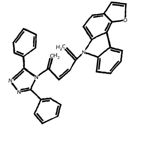 C=C(/C=C\C(=C)n1c2ccccc2c2c3occc3ccc21)n1c(-c2ccccc2)nnc1-c1ccccc1